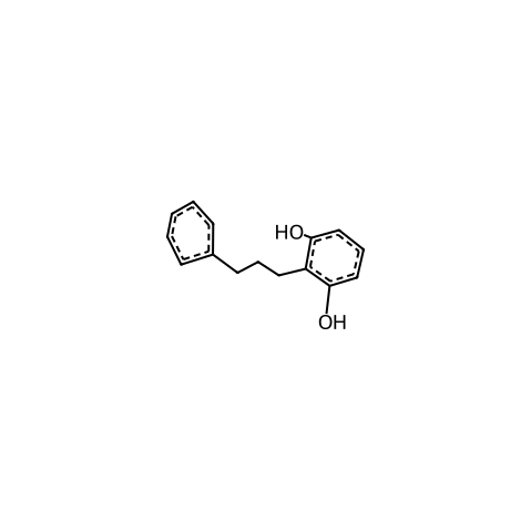 Oc1cccc(O)c1CCCc1ccccc1